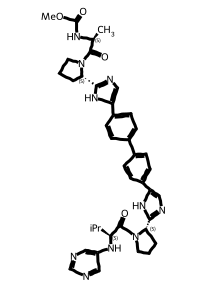 COC(=O)N[C@@H](C)C(=O)N1CCC[C@H]1c1ncc(-c2ccc(-c3ccc(-c4cnc([C@@H]5CCCN5C(=O)[C@@H](Nc5cncnc5)C(C)C)[nH]4)cc3)cc2)[nH]1